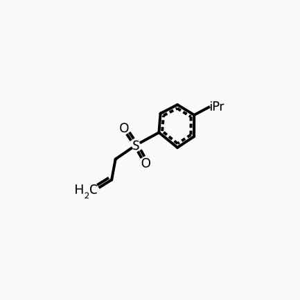 C=CCS(=O)(=O)c1ccc(C(C)C)cc1